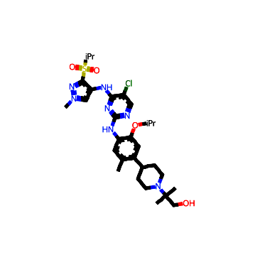 Cc1cc(Nc2ncc(Cl)c(Nc3cn(C)nc3S(=O)(=O)C(C)C)n2)c(OC(C)C)cc1C1CCN(C(C)(C)CO)CC1